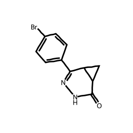 O=C1NN=C(c2ccc(Br)cc2)C2CC12